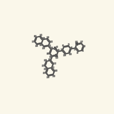 c1ccc(-c2ccc(-c3nc(-c4ccc5ccccc5c4)cc(-c4ccc5ccccc5c4)n3)cc2)nc1